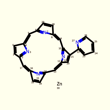 C1=CC2=NC1=CC1=NC(=CC3=NC(=CC4=NC(=C2)C=C4)C=C3c2ccccn2)C=C1.[Zn]